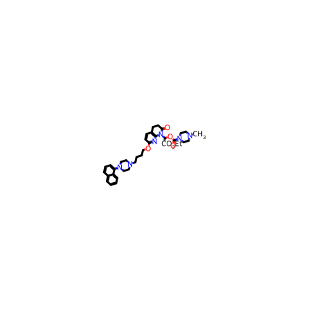 CCOC(=O)C(OC(=O)N1CCN(C)CC1)N1C(=O)CCc2ccc(OCCCCN3CCN(c4cccc5ccccc45)CC3)nc21